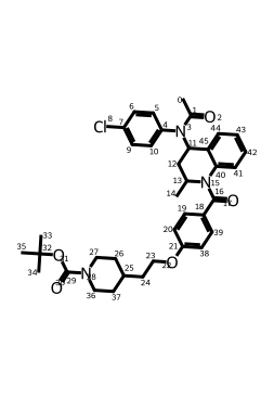 CC(=O)N(c1ccc(Cl)cc1)C1CC(C)N(C(=O)c2ccc(OCCC3CCN(C(=O)OC(C)(C)C)CC3)cc2)c2ccccc21